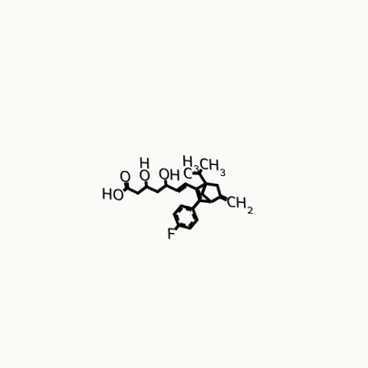 C=C1CC2(C(C)C)CC1C(c1ccc(F)cc1)=C2/C=C/C(O)CC(O)CC(=O)O